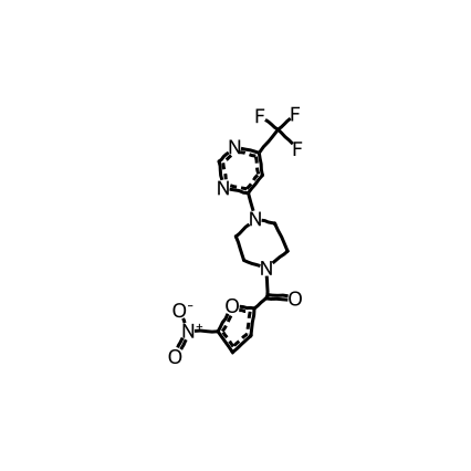 O=C(c1ccc([N+](=O)[O-])o1)N1CCN(c2cc(C(F)(F)F)ncn2)CC1